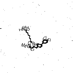 COC(=O)C(Cc1ccc(-c2ccc(Cl)c(Cl)c2)cc1)NC(=O)CCCCCCC(=O)NO